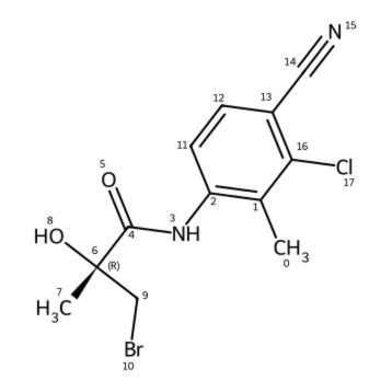 Cc1c(NC(=O)[C@@](C)(O)CBr)ccc(C#N)c1Cl